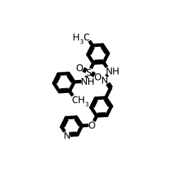 Cc1ccc(N/N=C/c2ccc(Oc3cccnc3)cc2)c(S(=O)(=O)Nc2ccccc2C)c1